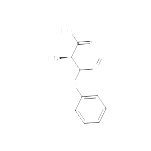 N[C@@H](C(=O)O)C(Oc1ccccc1)P=O